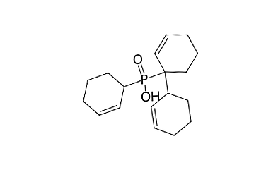 O=P(O)(C1C=CCCC1)C1(C2C=CCCC2)C=CCCC1